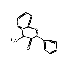 NC1C(=O)N(c2ccccc2)Oc2ccccc21